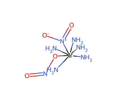 [NH2][Ir]([NH2])([NH2])([NH2])([NH2])([O]N=O)[N+](=O)[O-]